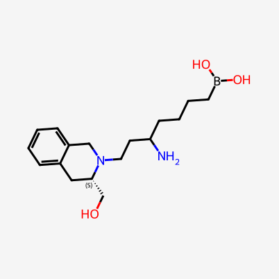 NC(CCCCB(O)O)CCN1Cc2ccccc2C[C@H]1CO